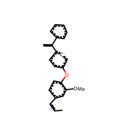 C=C(c1ccccc1)c1ccc(Oc2ccc(/C=C\C)cc2OC)cc1